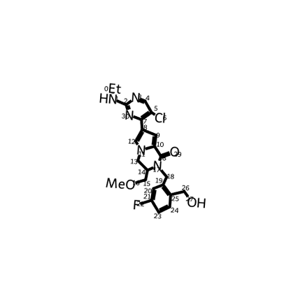 CCNc1ncc(Cl)c(-c2cc3n(c2)CC(COC)N(Cc2cc(F)ccc2CO)C3=O)n1